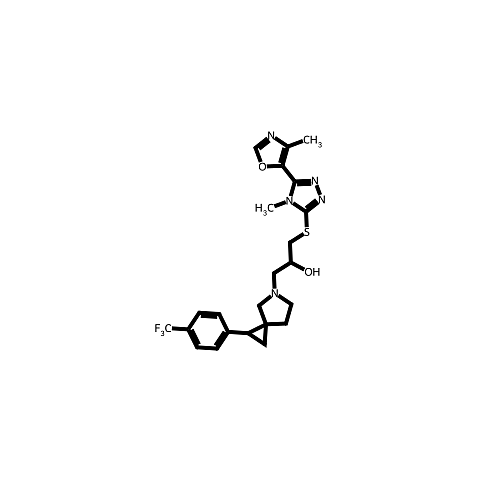 Cc1ncoc1-c1nnc(SCC(O)CN2CCC3(CC3c3ccc(C(F)(F)F)cc3)C2)n1C